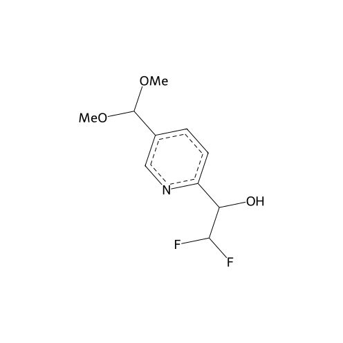 COC(OC)c1ccc(C(O)C(F)F)nc1